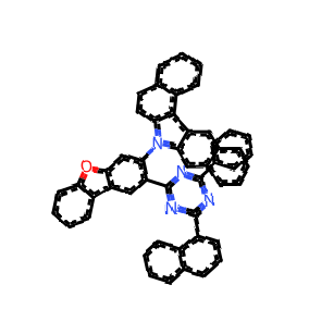 c1ccc(-c2nc(-c3cc4c(cc3-n3c5cc6ccccc6cc5c5c6ccccc6ccc53)oc3ccccc34)nc(-c3cccc4ccccc34)n2)cc1